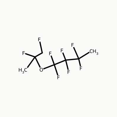 CC(F)(CF)OC(F)(F)C(F)(F)C(C)(F)F